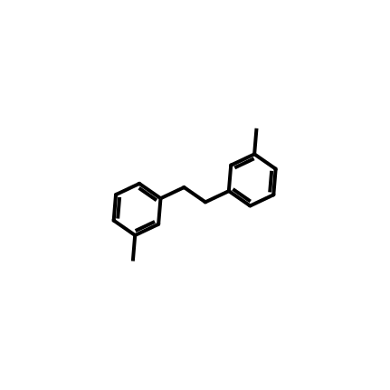 Cc1cccc(CCc2cccc(C)c2)c1